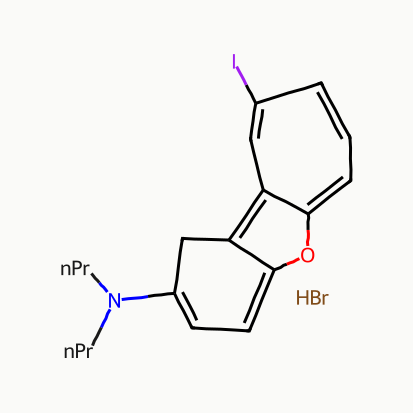 Br.CCCN(CCC)C1=CC=c2oc3c(c2C1)C=C(I)C=CC=3